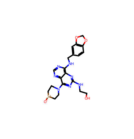 [O-][S+]1CCN(c2nc(NCCO)nc3c(NCc4ccc5c(c4)OCO5)ncnc23)CC1